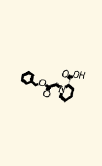 O=C(CN1CCCC[C@H]1C(=O)O)OCc1ccccc1